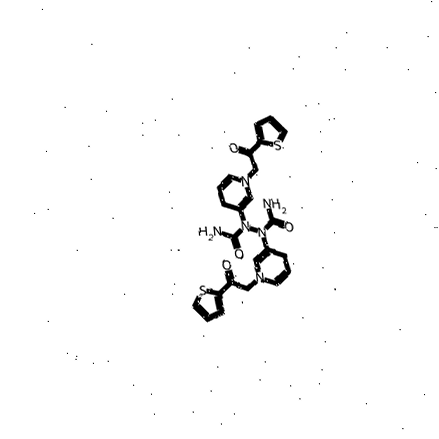 NC(=O)N(C1=CN(CC(=O)c2cccs2)C=CC1)N(C(N)=O)C1=CN(CC(=O)c2cccs2)C=CC1